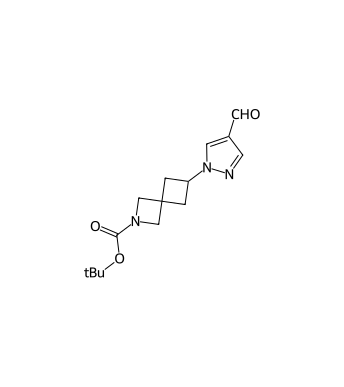 CC(C)(C)OC(=O)N1CC2(CC(n3cc(C=O)cn3)C2)C1